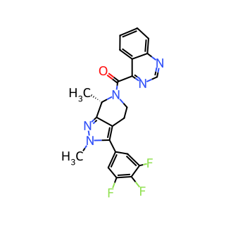 C[C@H]1c2nn(C)c(-c3cc(F)c(F)c(F)c3)c2CCN1C(=O)c1ncnc2ccccc12